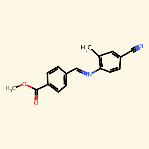 COC(=O)c1ccc(/C=N/c2ccc(C#N)cc2C)cc1